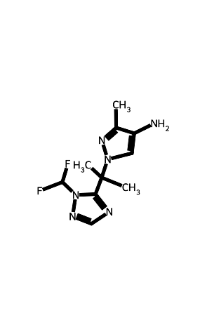 Cc1nn(C(C)(C)c2ncnn2C(F)F)cc1N